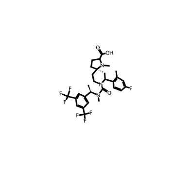 Cc1cc(F)ccc1C1C[C@@]2(CCC(C(=O)O)N2C)CCN1C(=O)N(C)[C@H](C)c1cc(C(F)(F)F)cc(C(F)(F)F)c1